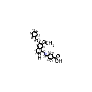 COc1cc2c(cc1OCc1ccccc1)CCNC2/C=C/c1ccc(C(=O)O)cc1